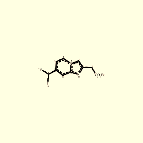 CCOC(=O)Cc1cn2ccc(C(F)F)cc2n1